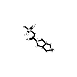 CS(=O)(=O)CC(=O)N1CC2CNCC2C1